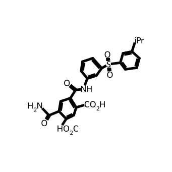 CC(C)c1cccc(S(=O)(=O)c2cccc(NC(=O)c3cc(C(N)=O)c(C(=O)O)cc3C(=O)O)c2)c1